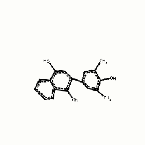 Cc1cc(-c2cc(O)c3ccccc3c2O)cc(C)c1O